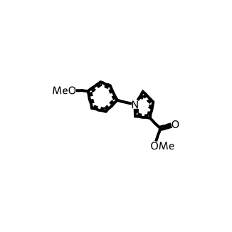 COC(=O)c1ccn(-c2ccc(OC)cc2)c1